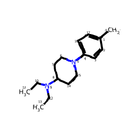 [CH2]c1ccc(N2CCC(N(CC)CC)CC2)cc1